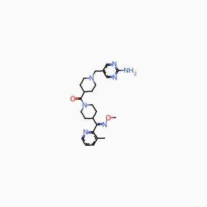 CON=C(c1ncccc1C)C1CCN(C(=O)C2CCN(Cc3cnc(N)nc3)CC2)CC1